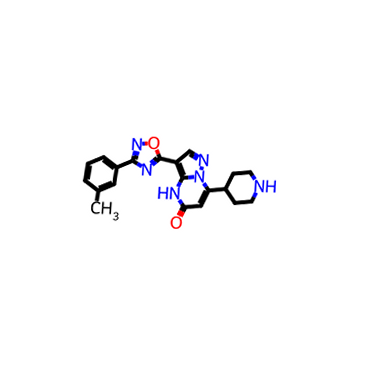 Cc1cccc(-c2noc(-c3cnn4c(C5CCNCC5)cc(=O)[nH]c34)n2)c1